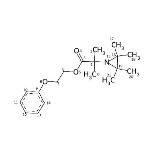 CC(C)(C(=O)OCCOc1ccccc1)N1C(C)(C)C1(C)C